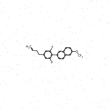 C=CCCc1cc(F)c(-c2ccc3cc(OC(F)(F)F)ccc3c2)c(F)c1